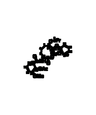 CCCO[C@H]1CCC[C@H](NC(=O)c2nccc(OC)c2OC(C)=O)C(=O)O[C@@H](C)[C@@H]1Oc1ccccc1